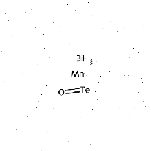 O=[Te].[BiH3].[Mn]